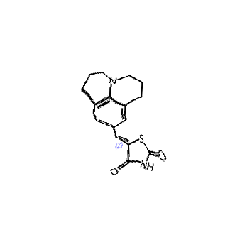 O=C1NC(=O)/C(=C/c2cc3c4c(c2)CCCN4CCC3)S1